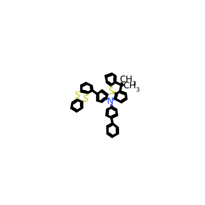 CC1(C)c2ccccc2Sc2c(N(c3ccc(-c4ccccc4)cc3)c3ccc(-c4cccc5c4Sc4ccccc4S5)cc3)cccc21